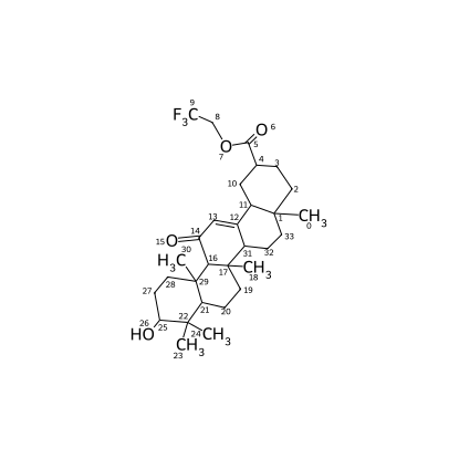 CC12CCC(C(=O)OCC(F)(F)F)CC1C1=CC(=O)C3C(C)(CCC4C(C)(C)C(O)CCC43C)C1CC2